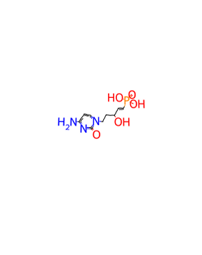 Nc1ccn(CCC(O)/C=C/P(=O)(O)O)c(=O)n1